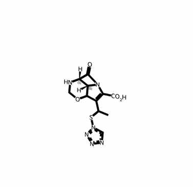 CC(Sn1cnnn1)C1=C(C(=O)O)N2C(=O)[C@H]3NCOC1[C@H]32